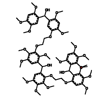 COc1cc(OC)c(C(O)c2cc(OCCOc3c(OC)c(OC)cc(C(O)c4cc(OC)c(OC)c(OC)c4OCCOc4cc(OC)c(OC)c(OC)c4C(O)c4c(OC)cc(OC)c(OC)c4OC)c3OC)c(OC)cc2OC)cc1OC